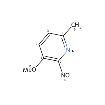 COc1ccc(C)nc1N=O